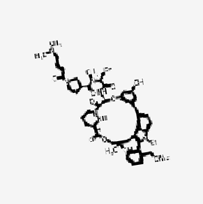 CCn1c(-c2ccccc2COC)c2c3cc(ccc31)-c1cc(O)cc(c1)C[C@H](NC(=O)C(C(C)C)N(C)C(=O)[C@H]1CCN(C(=O)/C=C/CN(C)C)C1)C(=O)N1CCC[C@H](N1)C(=O)OCC(C)(C)C2